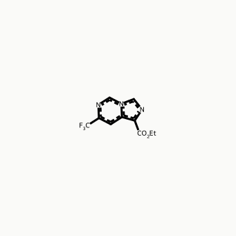 CCOC(=O)c1ncn2cnc(C(F)(F)F)cc12